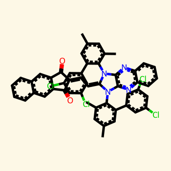 Cc1cc(C)c(N2C(=CC=C3C(=O)c4cc5ccccc5cc4C3=O)N(c3c(C)cc(C)cc3-c3cc(Cl)cc(Cl)c3)c3nc4ccccc4nc32)c(-c2cc(Cl)cc(Cl)c2)c1